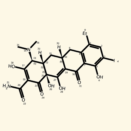 CCc1cc(I)c(O)c2c1C[C@H]1C[C@H]3[C@H](N(C)C)C(O)=C(C(N)=O)C(=O)[C@@]3(O)C(O)=C1C2=O